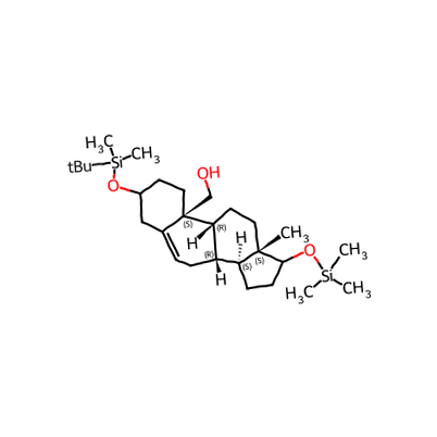 CC(C)(C)[Si](C)(C)OC1CC[C@@]2(CO)C(=CC[C@@H]3[C@H]2CC[C@]2(C)C(O[Si](C)(C)C)CC[C@@H]32)C1